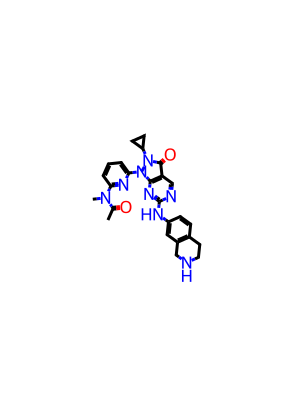 CC(=O)N(C)c1cccc(-n2c3nc(Nc4ccc5c(c4)CNCC5)ncc3c(=O)n2C2CC2)n1